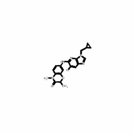 CC1Oc2cc(Nc3nc4c(cc3Cl)ncn4CC3CC3)ccc2N(C)C1=O